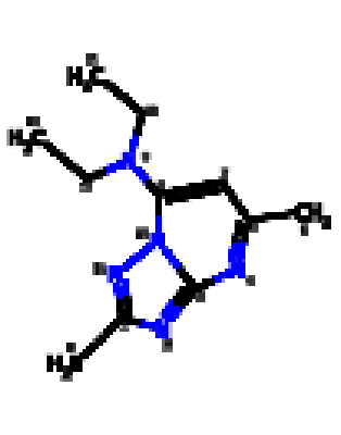 Bc1nc2nc(C)cc(N(CC)CC)n2n1